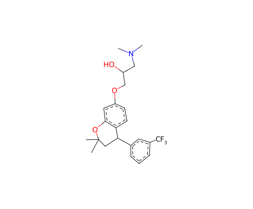 CN(C)CC(O)COc1ccc2c(c1)OC(C)(C)CC2c1cccc(C(F)(F)F)c1